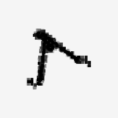 CCCCCCCCCCCCCCCCCC(C=C1CC=CCC1)SC(C=C1CC=CCC1)CCCCCCCCCCCCCCCCC